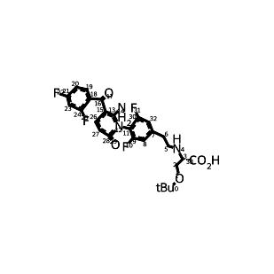 CC(C)(C)OC[C@H](NCCc1cc(F)c(-n2c(N)c(C(=O)c3ccc(F)cc3F)ccc2=O)c(F)c1)C(=O)O